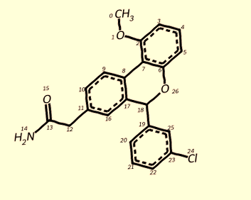 COc1cccc2c1-c1ccc(CC(N)=O)cc1C(c1cccc(Cl)c1)O2